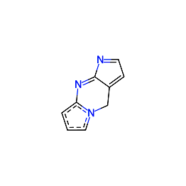 C1=NC2=Nc3cccn3CC2=C1